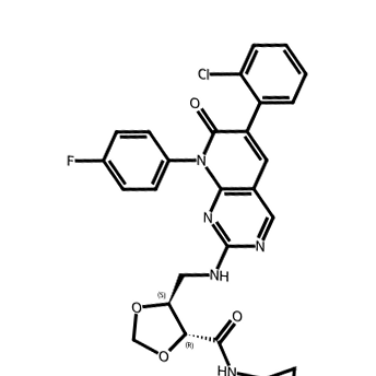 O=C(NC1CC1)[C@@H]1OCO[C@H]1CNc1ncc2cc(-c3ccccc3Cl)c(=O)n(-c3ccc(F)cc3)c2n1